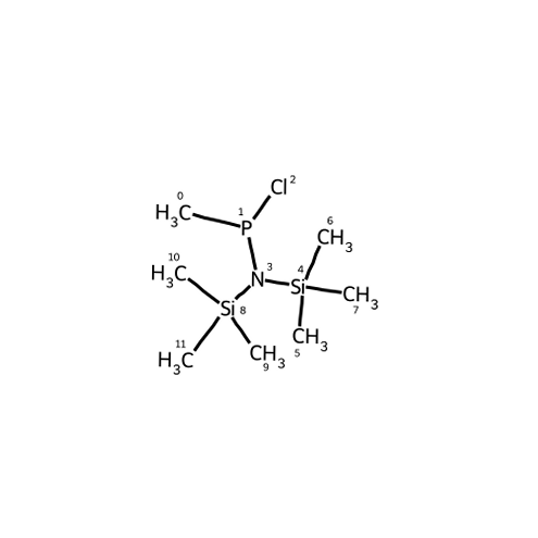 CP(Cl)N([Si](C)(C)C)[Si](C)(C)C